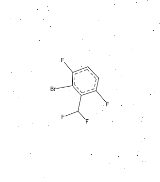 Fc1ccc(F)c(C(F)F)c1Br